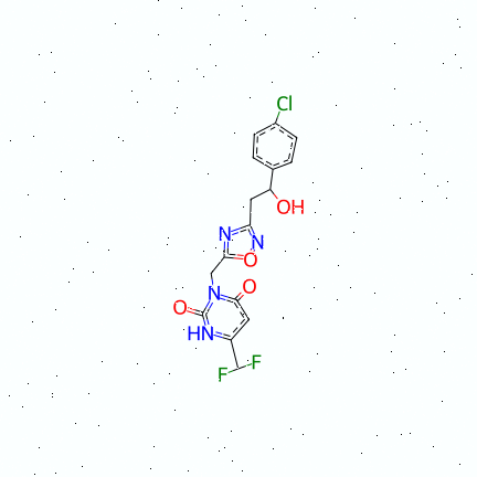 O=c1cc(C(F)F)[nH]c(=O)n1Cc1nc(CC(O)c2ccc(Cl)cc2)no1